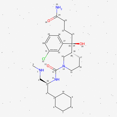 CNC[C@H](CC1CCCCC1)NC(=O)N1CCC[C@@H]([C@@](O)(CCCC(N)=O)c2cccc(Cl)c2)C1